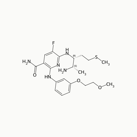 COCCOc1cccc(Nc2nc(N[C@H](CCSC)[C@H](C)N)c(F)cc2C(N)=O)c1